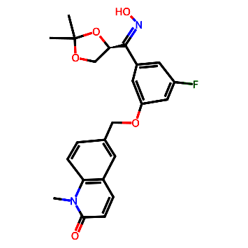 Cn1c(=O)ccc2cc(COc3cc(F)cc(/C(=N/O)[C@H]4COC(C)(C)O4)c3)ccc21